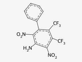 Nc1c([N+](=O)[O-])c(-c2ccccc2)c(C(F)(F)F)c(C(F)(F)F)c1[N+](=O)[O-]